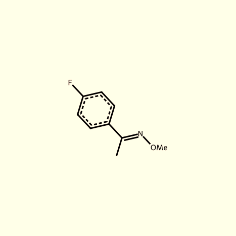 CON=C(C)c1ccc(F)cc1